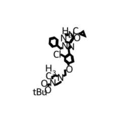 C[C@H]1CN(CCOc2ccc(-c3nc4c(OC5(C)CC5)ncnc4n3Cc3ccccc3)c(Cl)c2)CCN1C(=O)OC(C)(C)C